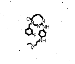 CCN(C)CCNC1C=CC(Nc2nccccc(=O)n(Cc3cccc(F)c3)cn2)=CC1